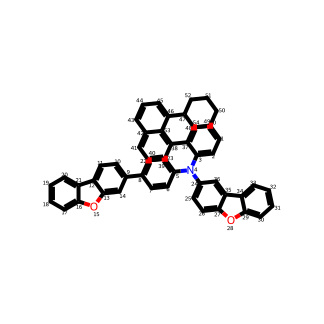 c1ccc(N(c2ccc(-c3ccc4c(c3)oc3ccccc34)cc2)c2ccc3oc4ccccc4c3c2)c(-c2cccc3cccc(C4CCCCC4)c23)c1